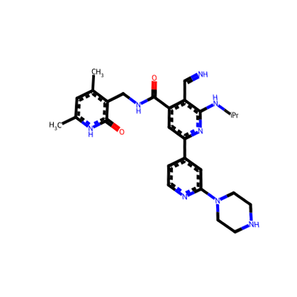 Cc1cc(C)c(CNC(=O)c2cc(-c3ccnc(N4CCNCC4)c3)nc(NC(C)C)c2C=N)c(=O)[nH]1